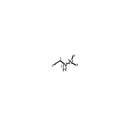 [CH2]CNN(C)C